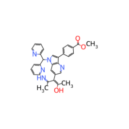 COC(=O)c1ccc(-c2cn(C(c3ccccn3)c3ccccn3)c3cc(/C(C(C)=N)=C(\C)O)cnc23)cc1